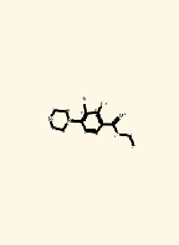 CCOC(=O)c1ccc(N2CCNCC2)c(F)c1F